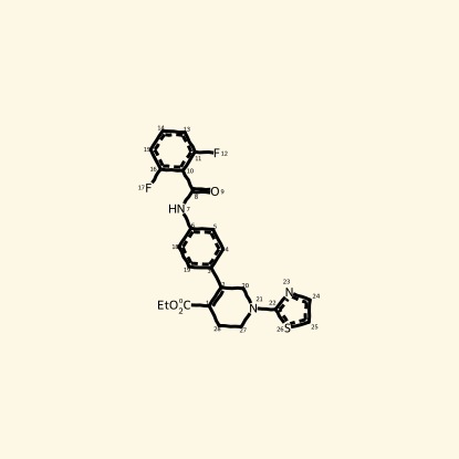 CCOC(=O)C1=C(c2ccc(NC(=O)c3c(F)cccc3F)cc2)CN(c2nccs2)CC1